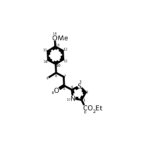 CCOC(=O)c1csc(C(=O)CC(C)c2ccc(OC)cc2)n1